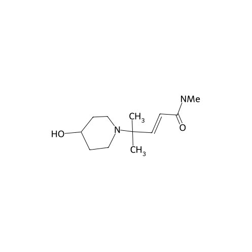 CNC(=O)C=CC(C)(C)N1CCC(O)CC1